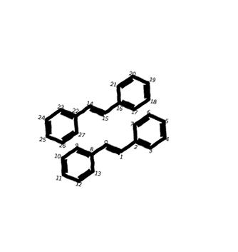 C(=C\c1ccccc1)/c1ccccc1.C(=Cc1ccccc1)c1ccccc1